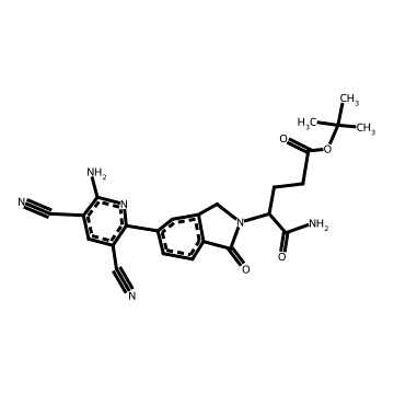 CC(C)(C)OC(=O)CCC(C(N)=O)N1Cc2cc(-c3nc(N)c(C#N)cc3C#N)ccc2C1=O